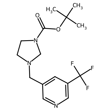 CC(C)(C)OC(=O)N1CCN(Cc2cncc(C(F)(F)F)c2)C1